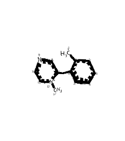 Cc1ccccc1-c1cncc[n+]1C